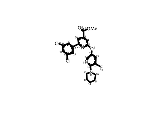 COC(=O)c1cc(Oc2cnc(N3CCCCC3)c(F)c2)nc(-c2cc(Cl)cc(Cl)c2)c1